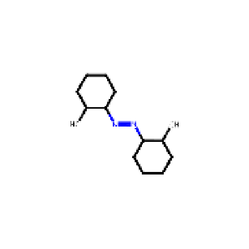 N#CC1CCCCC1/N=N/C1CCCCC1C#N